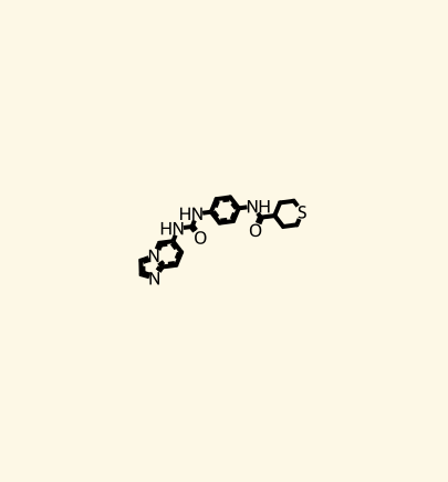 O=C(Nc1ccc(NC(=O)C2CCSCC2)cc1)Nc1ccc2nccn2c1